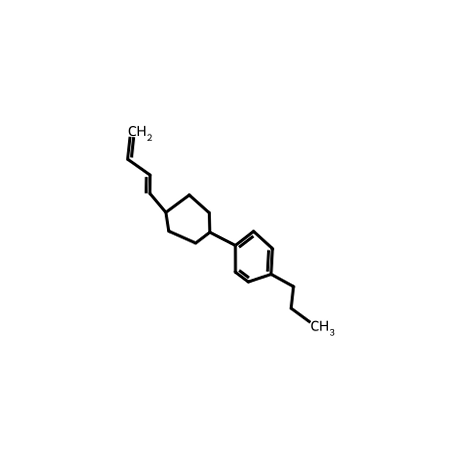 C=C/C=C/C1CCC(c2ccc(CCC)cc2)CC1